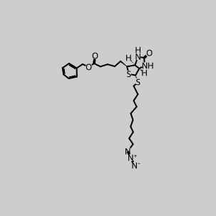 [N-]=[N+]=NCCCCCCCCCCS[C@@H]1S[C@@H](CCCCC(=O)OCc2ccccc2)[C@H]2NC(=O)N[C@@H]12